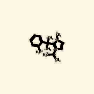 Cc1ccccc1C(C)(C)c1n(C)cc[n+]1C(C)C